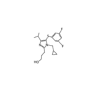 CC(C)c1nc(CCCO)n(CC2CC2)c1Sc1cc(F)cc(F)c1